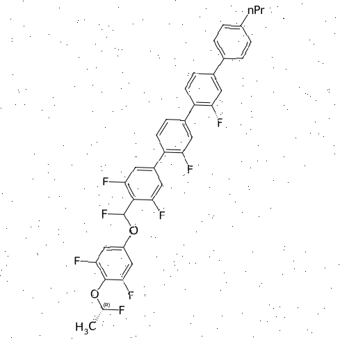 CCCc1ccc(-c2ccc(-c3ccc(-c4cc(F)c(C(F)Oc5cc(F)c(O[C@@H](C)F)c(F)c5)c(F)c4)c(F)c3)c(F)c2)cc1